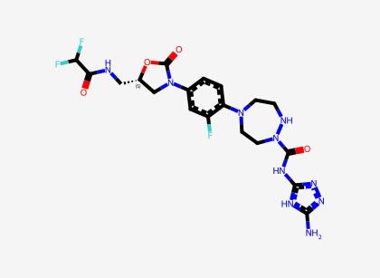 Nc1nnc(NC(=O)N2CCN(c3ccc(N4C[C@H](CNC(=O)C(F)F)OC4=O)cc3F)CCN2)[nH]1